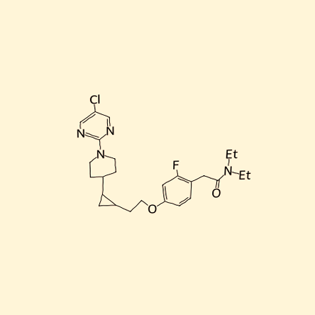 CCN(CC)C(=O)Cc1ccc(OCCC2CC2C2CCN(c3ncc(Cl)cn3)CC2)cc1F